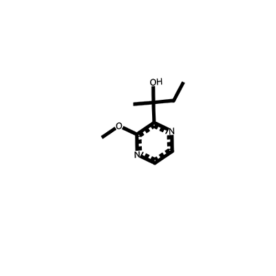 CCC(C)(O)c1nccnc1OC